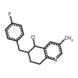 Cc1cnc2c(c1)C(Cl)C(Cc1ccc(F)cc1)CC2